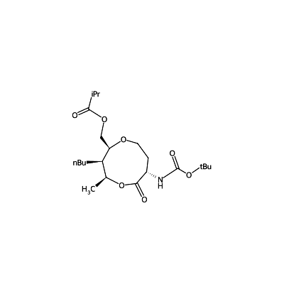 CCCC[C@@H]1[C@H](C)OC(=O)[C@@H](NC(=O)OC(C)(C)C)CCO[C@@H]1COC(=O)C(C)C